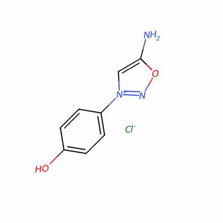 Nc1c[n+](-c2ccc(O)cc2)no1.[Cl-]